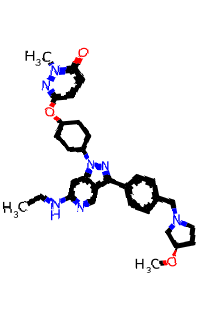 CCNc1cc2c(cn1)c(-c1ccc(CN3CC[C@@H](OC)C3)cc1)nn2C1CCC(Oc2ccc(=O)n(C)n2)CC1